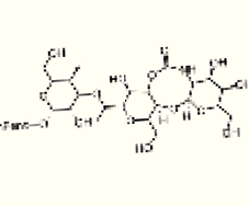 CCCCCO[C@@H]1OC(CO)[C@@H](C)C(OC(C)[C@@H]2OC(CO)[C@@H]3O[C@@H]4OC(CO)[C@H](O)[C@H](O)C4NC(=O)OC3[C@@H]2O)[C@@H]1O